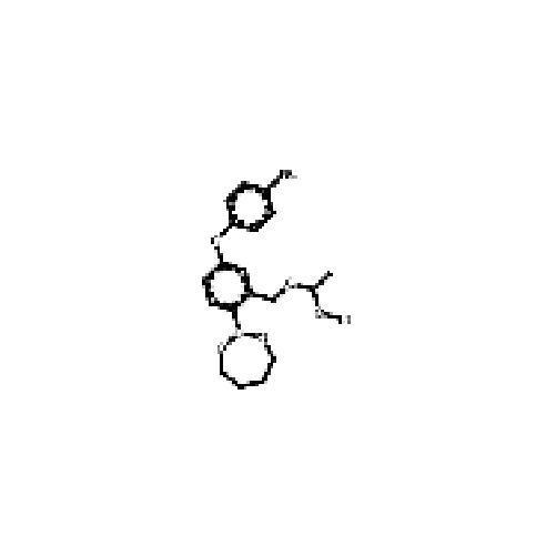 [C-]#[N+]c1ccc(Oc2ccc(B3OCCCCO3)c(COC(C)OCC)c2)cc1